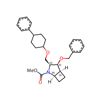 COC(=O)N1[C@@H]2CC[C@@H]2[C@H](OCc2ccccc2)[C@@H]1COC1CCC(c2ccccc2)CC1